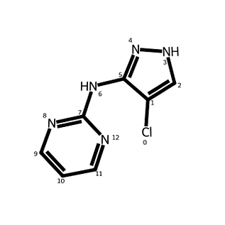 Clc1c[nH]nc1Nc1ncccn1